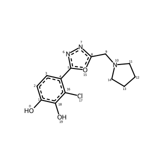 Oc1ccc(-c2nnc(CN3CCCC3)o2)c(Cl)c1O